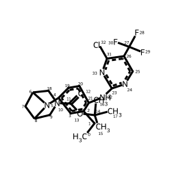 CCc1cc(N2C3CC2CN(C(=O)OC(C)(C)C)C3)ccc1Nc1ncc(C(F)(F)F)c(Cl)n1